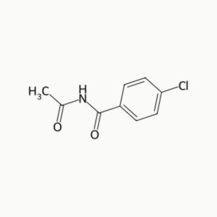 CC(=O)NC(=O)c1ccc(Cl)cc1